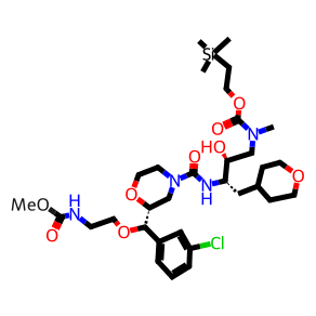 COC(=O)NCCOC(c1cccc(Cl)c1)[C@H]1CN(C(=O)N[C@@H](CC2CCOCC2)[C@@H](O)CN(C)C(=O)OCC[Si](C)(C)C)CCO1